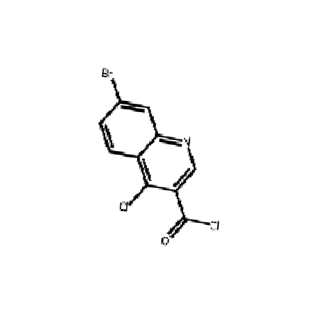 O=C(Cl)c1cnc2cc(Br)ccc2c1Cl